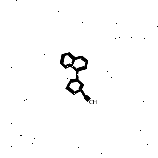 C#Cc1cccc(-c2cccc3ccccc23)c1